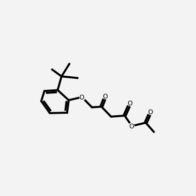 CC(=O)OC(=O)CC(=O)COc1ccccc1C(C)(C)C